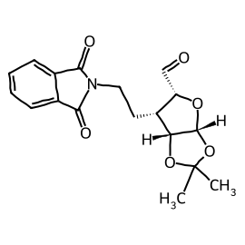 CC1(C)O[C@H]2O[C@@H](C=O)[C@@H](CCN3C(=O)c4ccccc4C3=O)[C@H]2O1